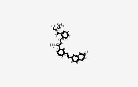 CCN(CC)C(=O)c1ccccc1CCC(N)c1cccc(C=Cc2ccc3ccc(Cl)cc3n2)c1